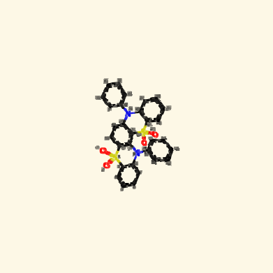 O=S1(=O)c2ccccc2N(c2ccccc2)c2c1ccc1c2S(=O)(=O)c2ccccc2N1c1ccccc1